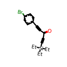 CC[Si](C#CC(=O)C#Cc1ccc(Br)cc1)(CC)CC